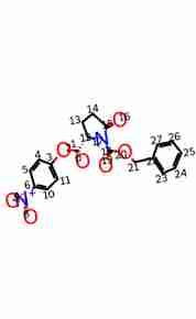 O=C(Oc1ccc([N+](=O)[O-])cc1)[C@@H]1CCC(=O)N1C(=O)OCc1ccccc1